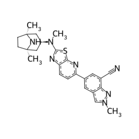 CN(c1nc2ccc(-c3cc(C#N)c4nn(C)cc4c3)nc2s1)[C@@H]1C[C@]2(C)CC[C@](C)(C1)N2